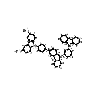 CC(C)(C)c1ccc2c(c1)c1cc(C(C)(C)C)ccc1n2-c1ccc(-c2ccc3c(c2)c2ccccc2n3-c2cccc(-n3c4ccccc4c4ccccc43)c2)cc1